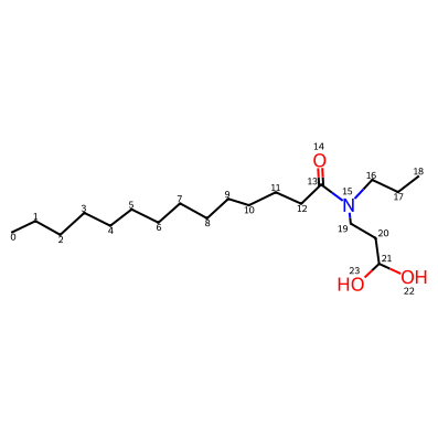 CCCCCCCCCCCCCC(=O)N(CCC)CCC(O)O